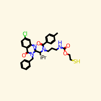 Cc1ccc(C(=O)N(CCCNC(=O)OCCS)C(c2nc3cc(Cl)ccc3c(=O)n2Cc2ccccc2)C(C)C)cc1